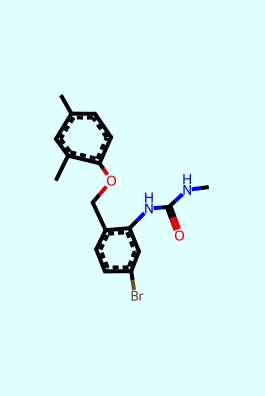 CNC(=O)Nc1cc(Br)ccc1COc1ccc(C)cc1C